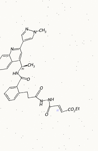 CCOC(=O)/C=C/C(=O)NNC(=O)CCc1ccccc1C(=O)N[C@H](C)c1cc(-c2cnn(C)c2)nc2ccccc12